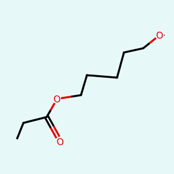 CCC(=O)OCCCCC[O]